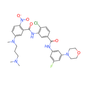 CN(C)CCCN(C)c1ccc([N+](=O)[O-])c(C(=O)Nc2cc(C(=O)Nc3cc(F)cc(N4CCOCC4)c3)ccc2Cl)c1